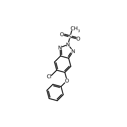 CS(=O)(=O)n1nc2cc(Cl)c(Oc3ccccc3)cc2n1